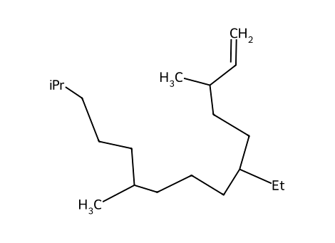 C=CC(C)CCC(CC)CCCC(C)CCCC(C)C